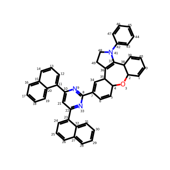 C1=CC2OC3C=CC(c4nc(-c5cccc6ccccc56)cc(-c5cccc6ccccc56)n4)=CC3C3=C(C2C=C1)N(c1ccccc1)CC3